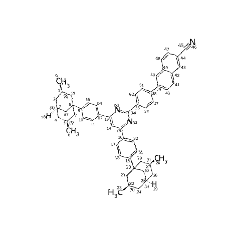 C[C@@H]1C[C@@H]2C[C@H](C)CC(c3ccc(-c4cc(-c5ccc(C67C[C@H](C)C[C@H](C[C@H](C)C6)C7)cc5)nc(-c5ccc(-c6ccc7cc(C#N)ccc7c6)cc5)n4)cc3)(C1)C2